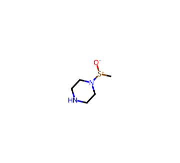 C[S+]([O-])N1CCNCC1